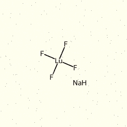 [F][Lu]([F])([F])[F].[NaH]